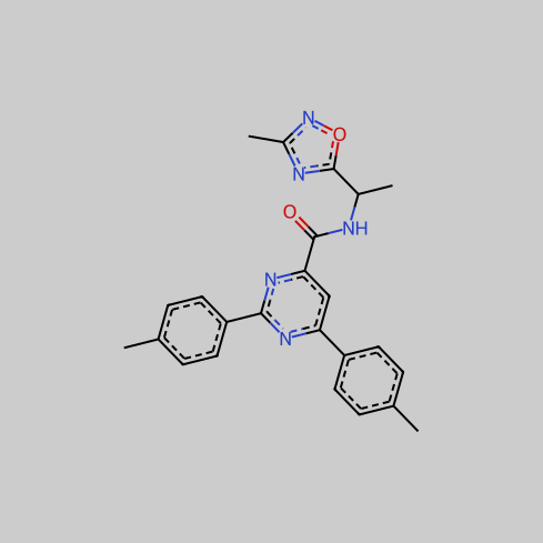 Cc1ccc(-c2cc(C(=O)NC(C)c3nc(C)no3)nc(-c3ccc(C)cc3)n2)cc1